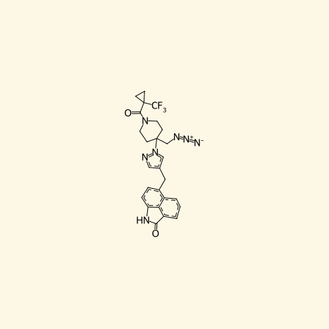 [N-]=[N+]=NCC1(n2cc(Cc3ccc4c5c(cccc35)C(=O)N4)cn2)CCN(C(=O)C2(C(F)(F)F)CC2)CC1